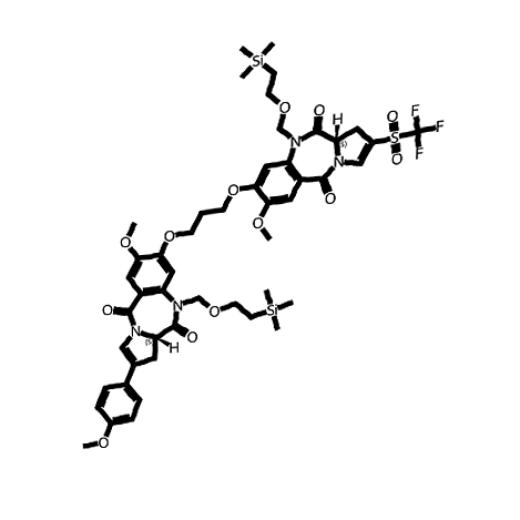 COc1ccc(C2=CN3C(=O)c4cc(OC)c(OCCCOc5cc6c(cc5OC)C(=O)N5C=C(S(=O)(=O)C(F)(F)F)C[C@H]5C(=O)N6COCC[Si](C)(C)C)cc4N(COCC[Si](C)(C)C)C(=O)[C@@H]3C2)cc1